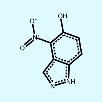 O=[N+]([O-])c1c(O)ccc2[nH]ncc12